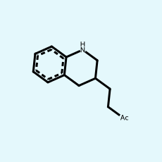 CC(=O)CCC1CNc2ccccc2C1